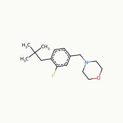 CC(C)(C)Cc1ccc(CN2CCOCC2)cc1F